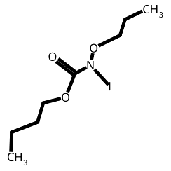 CCCCOC(=O)N(I)OCCC